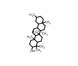 CC1CCC2(C)CC[C@]3(C)C(CCC4C5(C)CCC(O)C(C)(C)C5CCC43C)C2C1